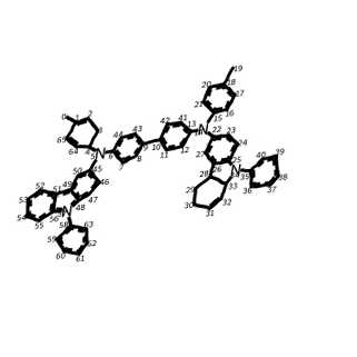 CC1=CCC(N(c2ccc(-c3ccc(N(c4ccc(C)cc4)c4ccc5c(c4)C4CCC=CC4N5c4ccccc4)cc3)cc2)c2ccc3c(c2)c2ccccc2n3-c2ccccc2)C=C1